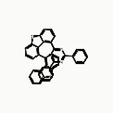 c1ccc(-c2nc(-c3ccccc3)nc(-c3cccc4oc5cccc(-c6cccc7oc8ccccc8c67)c5c34)n2)cc1